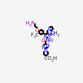 CC1CCCN1CC1=C(c2ccc(OCCCP)c(C(F)(F)F)c2)N=C(NC(=O)c2cnc(N3CCC(C(=O)O)CC3)cn2)SN1